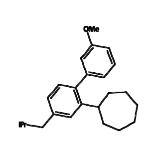 COc1cccc(-c2ccc(CC(C)C)cc2C2CCCCCC2)c1